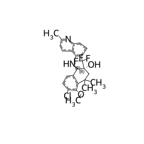 COc1c(Cl)ccc2c1C(C)(C)C[C@](O)(C(F)(F)F)[C@@H]2Nc1cccc2nc(C)ccc12